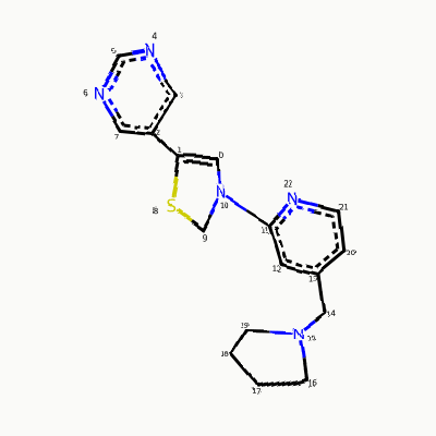 C1=C(c2cncnc2)SCN1c1cc(CN2CCCC2)ccn1